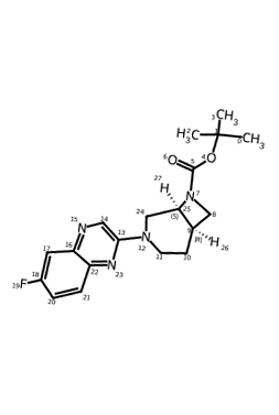 CC(C)(C)OC(=O)N1C[C@H]2CCN(c3cnc4cc(F)ccc4n3)C[C@H]21